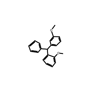 COc1cccc([C](c2ccccc2)c2ccccc2OC)c1